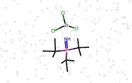 CC(C)(C)P(=N)(C(C)(C)C)C(C)(C)C.[Cl][Zr]([Cl])[Cl]